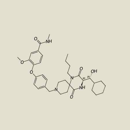 CCCCN1C(=O)[C@@H]([C@H](O)C2CCCCC2)NC(=O)C12CCN(Cc1ccc(Oc3ccc(C(=O)NC)cc3OC)cc1)CC2